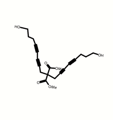 COC(=O)C(CC#CC#CCCCO)(CC#CC#CCCCO)C(=O)OC